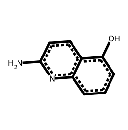 Nc1ccc2c(O)cccc2n1